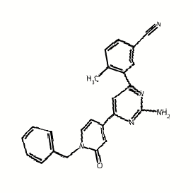 Cc1ccc(C#N)cc1-c1cc(-c2ccn(Cc3ccccc3)c(=O)c2)nc(N)n1